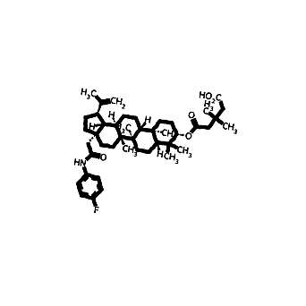 C=C(C)[C@@H]1CC[C@]2(CC(=O)Nc3ccc(F)cc3)CC[C@]3(C)[C@H](CC[C@@H]4[C@@]5(C)CC[C@H](OC(=O)CC(C)(C)CC(=O)O)C(C)(C)[C@@H]5CC[C@]43C)[C@@H]12